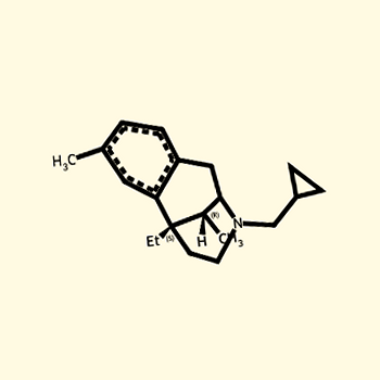 CC[C@@]12CCN(CC3CC3)C(Cc3ccc(C)cc31)[C@@H]2C